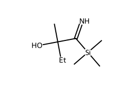 CCC(C)(O)C(=N)[Si](C)(C)C